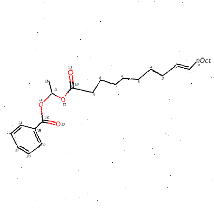 CCCCCCCCC=CCCCCCCCC(=O)OC(C)OC(=O)c1ccccc1